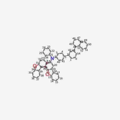 c1cc(-c2ccc(N(c3ccc4oc5ccccc5c4c3)c3ccccc3-c3ccc4c(c3)oc3ccccc34)cc2)cc(-c2cccc3ccccc23)c1